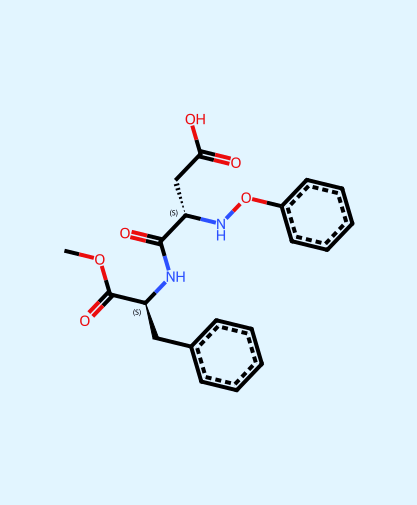 COC(=O)[C@H](Cc1ccccc1)NC(=O)[C@H](CC(=O)O)NOc1ccccc1